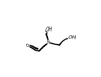 O=CN(O)CO